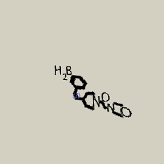 Bc1cccc(/C=C\C2CCN(C(=O)CN3CCOCC3)CC2)c1